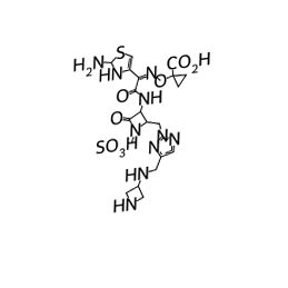 NC1NC(/C(=N/OC2(C(=O)O)CC2)C(=O)NC2C(=O)N(S(=O)(=O)O)C2Cn2ncc(CNC3CNC3)n2)=CS1